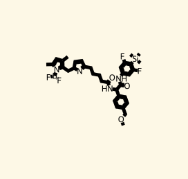 COCc1ccc(C(NC(=O)CCCCC2=NC(Cc3c(C)cc(C)n3B(F)F)C=C2)C(=O)Nc2cc(F)c([Si](C)(C)C)c(F)c2)cc1